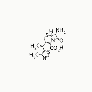 C=C(C1=C(C(=O)O)N2C(=O)C(N)[C@@H]2SC1)c1scnc1C